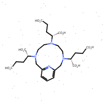 O=C(O)CC[C@H](C(=O)O)N1CCN([C@H](CCC(=O)O)C(=O)O)Cc2cccc(n2)CN([C@H](CCC(=O)O)C(=O)O)CC1